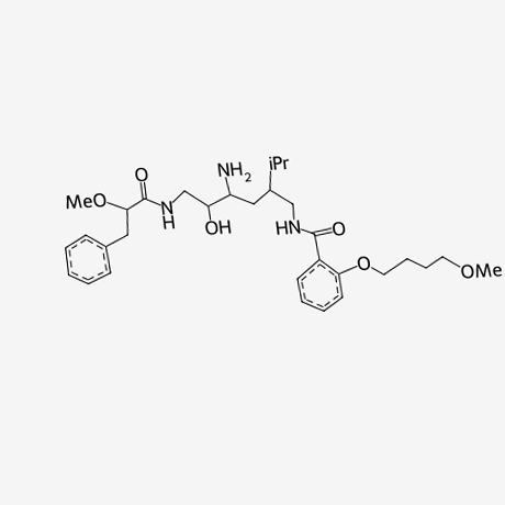 COCCCCOc1ccccc1C(=O)NCC(CC(N)C(O)CNC(=O)C(Cc1ccccc1)OC)C(C)C